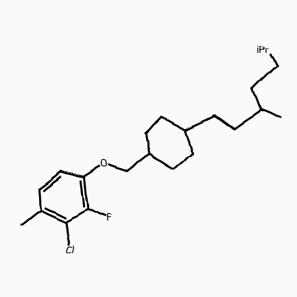 Cc1ccc(OCC2CCC(CCC(C)CCC(C)C)CC2)c(F)c1Cl